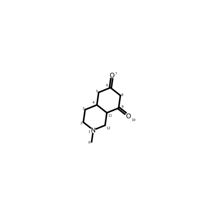 CN1CCC2CC(=O)CC(=O)C2C1